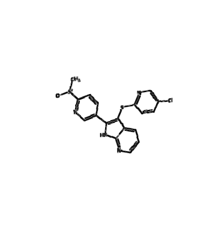 C[S+]([O-])c1ccc(-c2[nH]c3ncccc3c2Sc2ccc(Cl)cn2)cn1